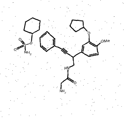 COc1ccc(C(C#Cc2ccccc2)CNC(=O)CN)cc1OC1CCCC1.NS(=O)(=O)OC1CCCCC1